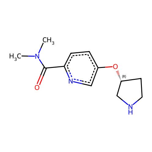 CN(C)C(=O)c1ccc(O[C@@H]2CCNC2)cn1